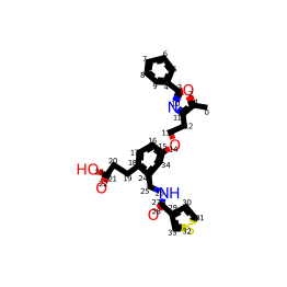 Cc1oc(-c2ccccc2)nc1CCOc1ccc(CCC(=O)O)c(CNC(=O)c2ccsc2)c1